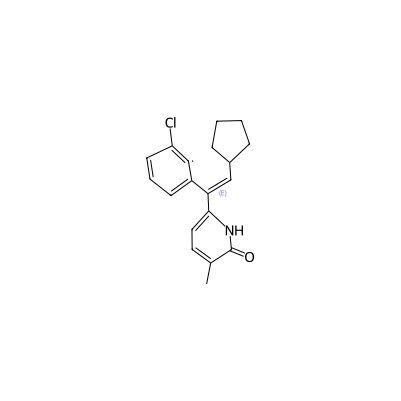 Cc1ccc(/C(=C/C2CCCC2)c2[c]c(Cl)ccc2)[nH]c1=O